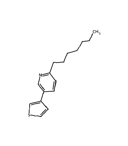 CCCCCCCc1ccc(-c2ccsc2)cn1